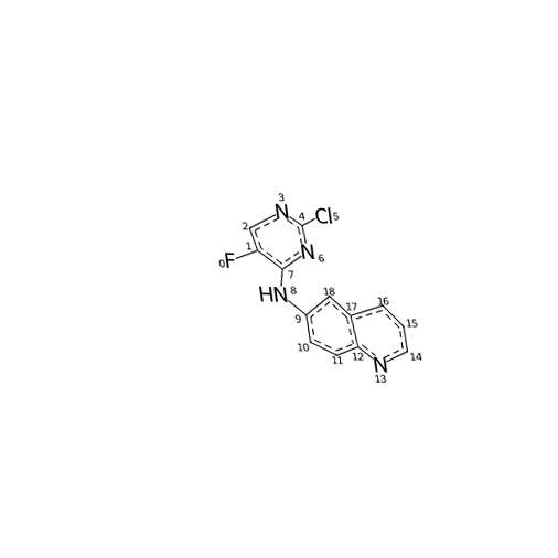 Fc1cnc(Cl)nc1Nc1ccc2ncccc2c1